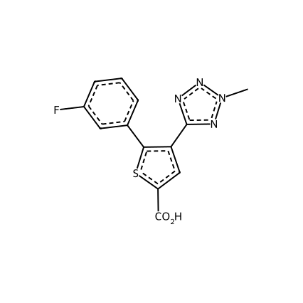 Cn1nnc(-c2cc(C(=O)O)sc2-c2cccc(F)c2)n1